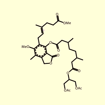 COC(=O)CC/C(C)=C/Cc1c(OC)c(C)c2c(c1OC(=O)CC(C)CCC(C)CC(=O)OC(COC(C)=O)COC(C)=O)C(=O)OC2